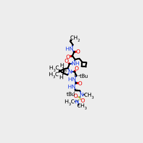 C=CCNC(=O)C(=O)C(CC1CCC1)NC(=O)C1[C@@H]2[C@H](CN1C(=O)[C@@H](NC(=O)N[C@H](CN(C)S(=O)(=O)N(C)C)C(C)(C)C)C(C)(C)C)C2(C)C